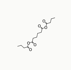 CCCC(=O)OC(=O)CCCCC(=O)OC(=O)CCC